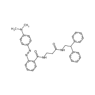 CN(C)c1ccc(N=Nc2ccccc2C(=O)NCCC(=O)NCC(c2ccccc2)c2ccccc2)cc1